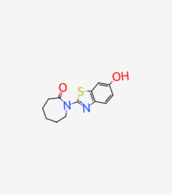 O=C1CCCCCN1c1nc2ccc(O)cc2s1